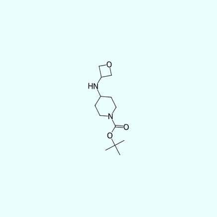 CC(C)(C)OC(=O)N1CCC(NC2COC2)CC1